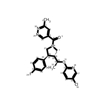 Cc1cc(C(=O)N2C[C@H]([C@H](C)Oc3ccc(Cl)cn3)[C@@H](c3ccc(F)cc3)C2)cnn1